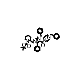 CC(C)(C)OC(=O)N1CCCCC1Cn1cnc(C(=O)N2CCN(Cc3ccccc3)C[C@H]2Cc2ccccc2)c1-c1ccccc1